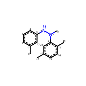 Cc1cccc(NN(C)c2cc(C)ccc2C)c1